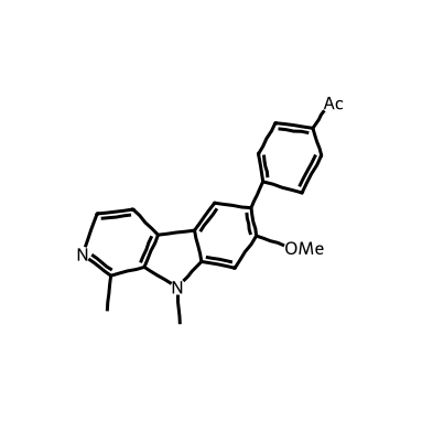 COc1cc2c(cc1-c1ccc(C(C)=O)cc1)c1ccnc(C)c1n2C